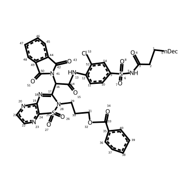 CCCCCCCCCCCCC(=O)NS(=O)(=O)c1ccc(NC(=O)C(C2=Nc3nccnc3S(=O)(=O)N2CCCOC(=O)c2ccccc2)N2C(=O)c3ccccc3C2=O)c(Cl)c1